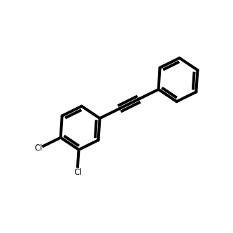 Clc1ccc(C#Cc2ccccc2)cc1Cl